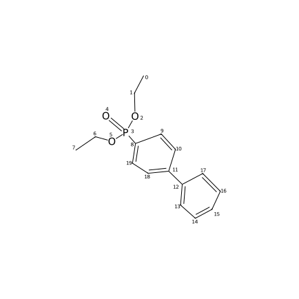 CCOP(=O)(OCC)c1ccc(-c2ccccc2)cc1